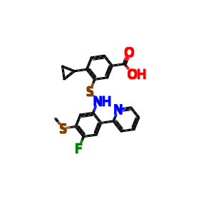 CSc1cc(NSc2cc(C(=O)O)ccc2C2CC2)c(-c2ccccn2)cc1F